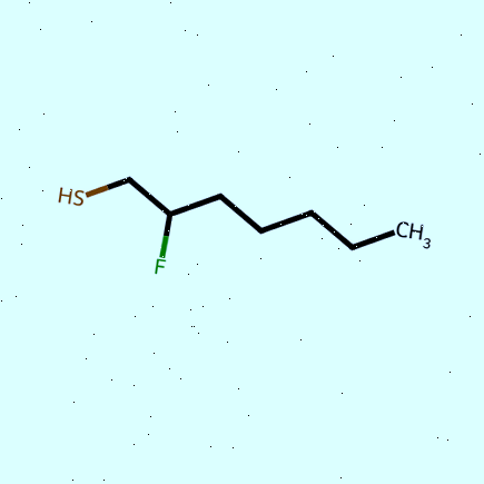 CCCCCC(F)CS